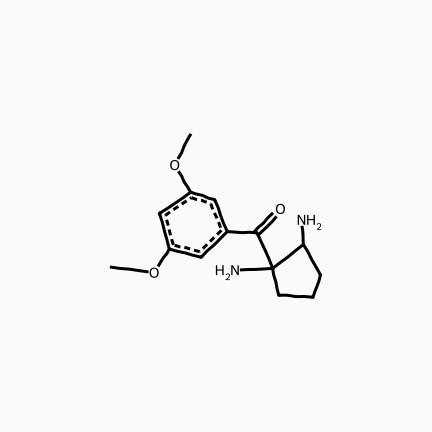 COc1cc(OC)cc(C(=O)C2(N)CCCC2N)c1